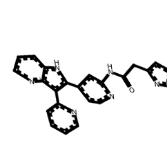 O=C(Cc1ccon1)Nc1cc(-c2[nH]c3cccnc3c2-c2ccccn2)ccn1